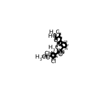 CCC(=Cc1cn(C)c2c(-c3noc(-c4ccc(OC(C)C)c(Cl)c4)n3)cccc12)C(=O)O